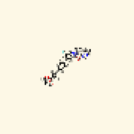 CCOC(=O)C(c1ncn2c1CCC2)N1Cc2c(F)cc(-c3ccc(C45CC(C(OCC)OCC)(C4)C5)cc3)cc2C1=O